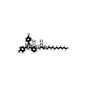 CCCCCCCCCCCCOCC(O)COc1cccc(-c2nc(-c3ccc(C)cc3)nc(-c3ccc(C)cc3)n2)c1O